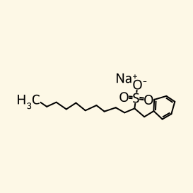 CCCCCCCCCCC(Cc1ccccc1)S(=O)(=O)[O-].[Na+]